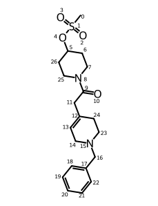 CS(=O)(=O)OC1CCN(C(=O)CC2=CCN(Cc3ccccc3)CC2)CC1